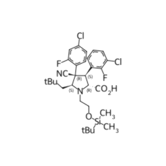 CC(C)(C)C[C@@H]1N(CCO[Si](C)(C)C(C)(C)C)[C@@H](C(=O)O)[C@H](c2cccc(Cl)c2F)[C@@]1(C#N)c1ccc(Cl)cc1F